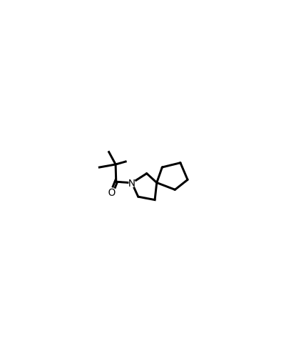 CC(C)(C)C(=O)N1CCC2(CCCC2)C1